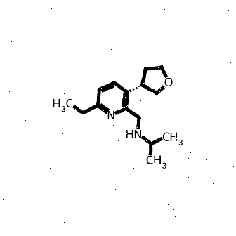 CCc1ccc([C@@H]2CCOC2)c(CNC(C)C)n1